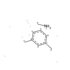 CN.Cc1cccc(C)c1